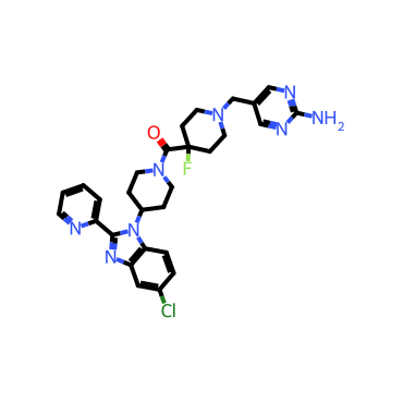 Nc1ncc(CN2CCC(F)(C(=O)N3CCC(n4c(-c5ccccn5)nc5cc(Cl)ccc54)CC3)CC2)cn1